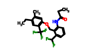 CCC(=O)Nc1cccc(C(F)F)c1COc1cc(C)c(CC)cc1C(F)(F)F